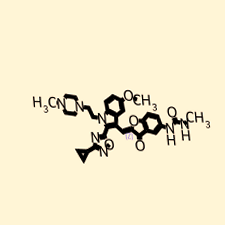 CNC(=O)Nc1ccc2c(c1)C(=O)/C(=C/c1c(-c3nc(C4CC4)no3)n(CCN3CCN(C)CC3)c3ccc(OC)cc13)O2